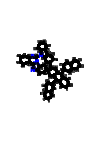 c1ccc2cc(-c3c4ccccc4c(-c4ccc5ccccc5c4)c4cc(-c5ccc6c7ccccc7n(-c7nc8ccccc8c8nc9ccccc9n78)c6c5)ccc34)ccc2c1